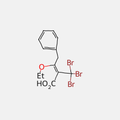 CCOC(Cc1ccccc1)=C(C(=O)O)C(Br)(Br)Br